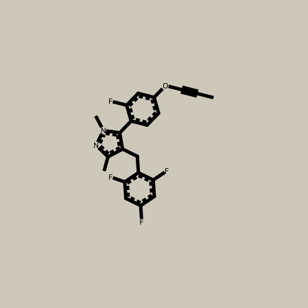 CC#COc1ccc(-c2c(Cc3c(F)cc(F)cc3F)c(C)nn2C)c(F)c1